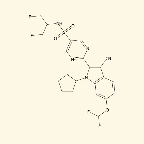 N#Cc1c(-c2ncc(S(=O)(=O)NC(CF)CF)cn2)n(C2CCCC2)c2cc(OC(F)F)ccc12